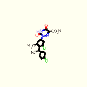 Cc1cc(-n2nc(C(=O)O)c(=O)[nH]c2=O)cc(Cl)c1C(C#N)c1ccc(Cl)cc1